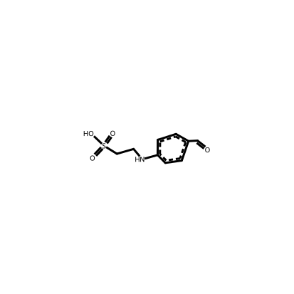 O=Cc1ccc(NCCS(=O)(=O)O)cc1